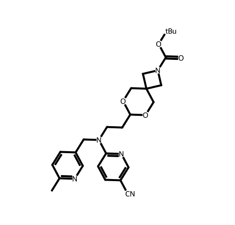 Cc1ccc(CN(CCC2OCC3(CO2)CN(C(=O)OC(C)(C)C)C3)c2ccc(C#N)cn2)cn1